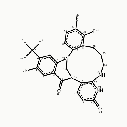 O=C1c2cc(F)c(C(F)(F)F)cc2N2CN1c1ccc(=O)[nH]c1NCCCc1c2ccc(F)c1F